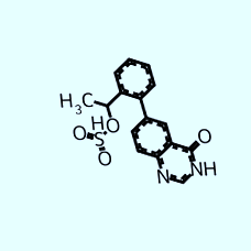 CC(O[SH](=O)=O)c1ccccc1-c1ccc2nc[nH]c(=O)c2c1